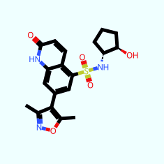 Cc1noc(C)c1-c1cc(S(=O)(=O)N[C@@H]2CCC[C@H]2O)c2ccc(=O)[nH]c2c1